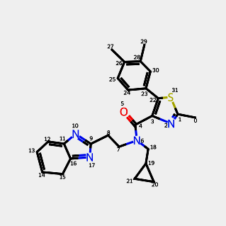 Cc1nc(C(=O)N(CCC2=NC3=CC=CCC3=N2)CC2CC2)c(-c2ccc(C)c(C)c2)s1